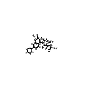 CCOCc1nc2c(N)nc3cc(-c4cccnc4)ccc3c2n1CC(C)(C)NC(=O)C(C)C